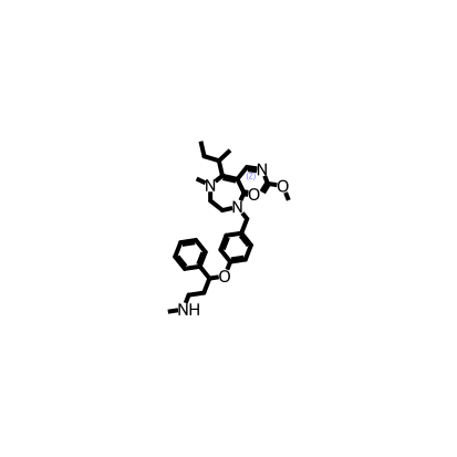 C=C(/N=C\C1=C(C(C)CC)N(C)CCN(Cc2ccc(OC(CCNC)c3ccccc3)cc2)C1=O)OC